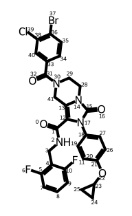 O=C(NCc1c(F)cccc1F)c1c2n(c(=O)n1-c1ccc(OC3CC3)cc1)CCN(C(=O)c1ccc(Br)c(Cl)c1)C2